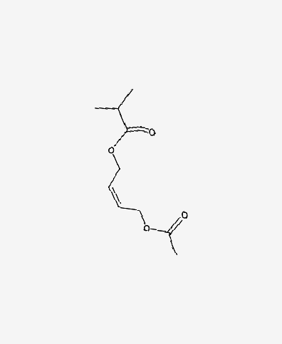 CC(=O)OC/C=C\COC(=O)C(C)C